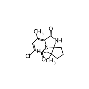 Cc1cc(Cl)c(=O)n2c1C(=O)NC21CCCC1(C)C